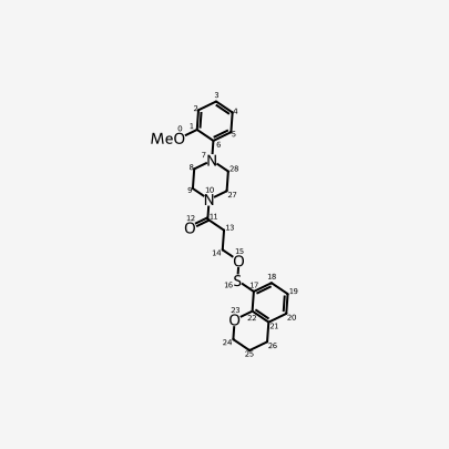 COc1ccccc1N1CCN(C(=O)CCOSc2cccc3c2OCCC3)CC1